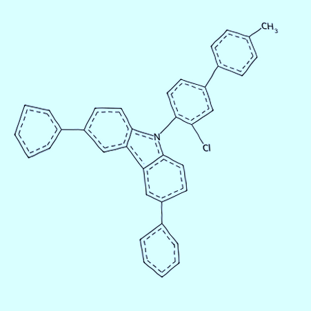 Cc1ccc(-c2ccc(-n3c4ccc(-c5ccccc5)cc4c4cc(-c5ccccc5)ccc43)c(Cl)c2)cc1